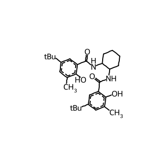 Cc1cc(C(C)(C)C)cc(C(=O)NC2CCCCC2NC(=O)c2cc(C(C)(C)C)cc(C)c2O)c1O